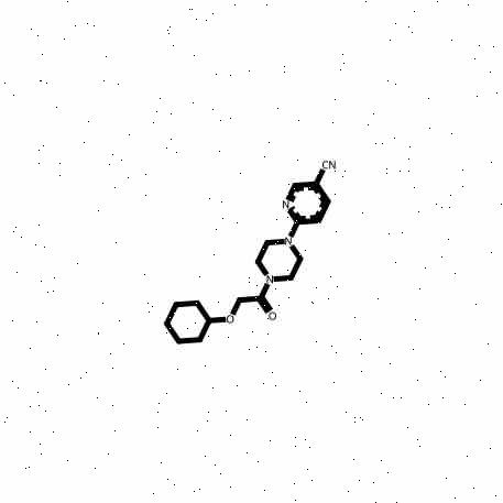 N#Cc1ccc(N2CCN(C(=O)COC3CCCCC3)CC2)nc1